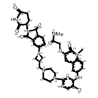 CNC(=O)COc1cc2cc(Nc3nc(N4CCN(CC5CN(c6ccc7c(c6)C(=O)N(C6CCC(=O)NC6=O)C7=O)C5)CC4)ncc3Cl)ccc2n(C)c1=O